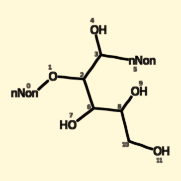 CCCCCCCCCOC(C(O)CCCCCCCCC)C(O)C(O)CO